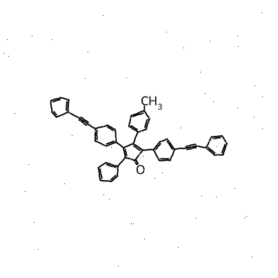 Cc1ccc(C2=C(c3ccc(C#Cc4ccccc4)cc3)C(=O)C(c3ccccc3)=C2c2ccc(C#Cc3ccccc3)cc2)cc1